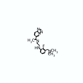 C=C(/N=C/CNc1cccc(CN(C)C)c1F)c1ccc2ncnn2c1